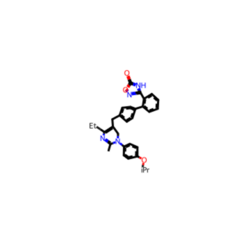 CCC1=C(Cc2ccc(-c3ccccc3-c3noc(=O)[nH]3)cc2)CN(c2ccc(OC(C)C)cc2)C(C)=N1